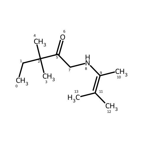 CCC(C)(C)C(=O)CNC(C)=C(C)C